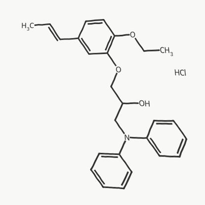 C/C=C/c1ccc(OCC)c(OCC(O)CN(c2ccccc2)c2ccccc2)c1.Cl